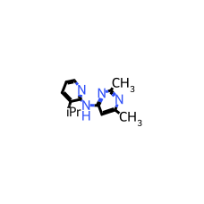 Cc1cc(Nc2ncccc2C(C)C)nc(C)n1